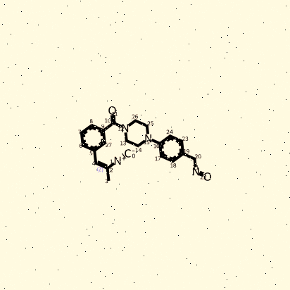 [C-]#[N+]/C(C)=C\c1cccc(C(=O)N2CCN(c3ccc(CN=O)cc3)CC2)c1